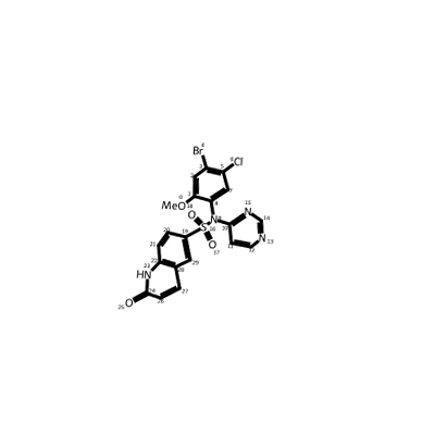 COc1cc(Br)c(Cl)cc1N(c1ccncn1)S(=O)(=O)c1ccc2[nH]c(=O)ccc2c1